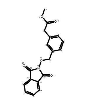 COC(=O)Cc1cccc(CON2C(=O)c3ccccc3C2=O)c1